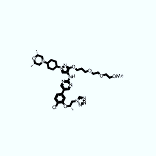 COCCOCCOCCCOc1nn(C2CCC(N3C[C@@H](C)O[C@@H](C)C3)CC2)cc1Nc1ncc(-c2ccc(Cl)c(O[C@@H](C)Cn3cnnn3)c2)cn1